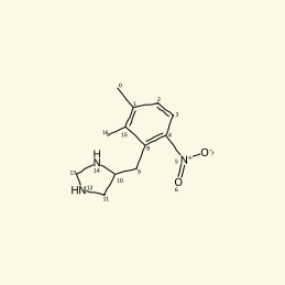 Cc1ccc([N+](=O)[O-])c(CC2CNCN2)c1C